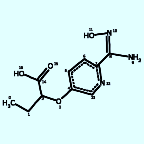 CCC(Oc1ccc(/C(N)=N\O)nc1)C(=O)O